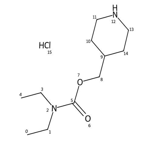 CCN(CC)C(=O)OCC1CCNCC1.Cl